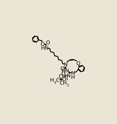 CC(C)(C)OC(=O)/N=C1/NCc2ccccc2OC/C=C\CN(CCCCCCCCNC(=O)OCc2ccccc2)C(=O)N1